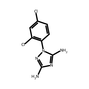 Nc1nc(N)n(-c2ccc(Cl)cc2Cl)n1